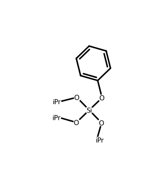 CC(C)O[Si](Oc1ccccc1)(OC(C)C)OC(C)C